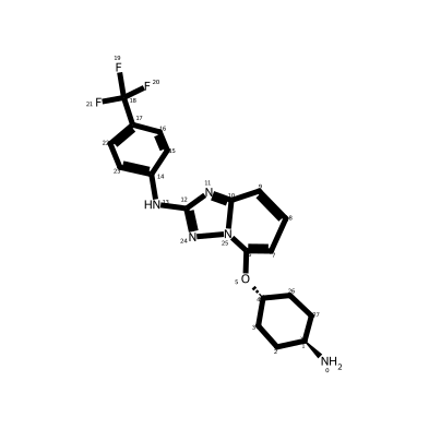 N[C@H]1CC[C@H](Oc2cccc3nc(Nc4ccc(C(F)(F)F)cc4)nn23)CC1